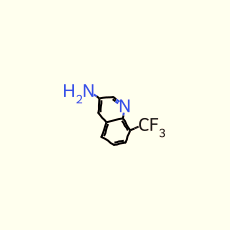 Nc1cnc2c(C(F)(F)F)cccc2c1